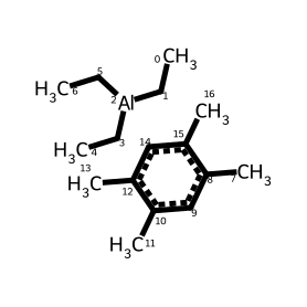 C[CH2][Al]([CH2]C)[CH2]C.Cc1cc(C)c(C)cc1C